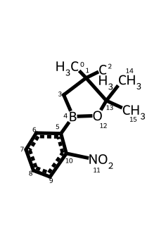 CC1(C)CB(c2ccccc2[N+](=O)[O-])OC1(C)C